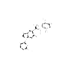 Cc1cccc(-n2ccc3cc(C(=O)N[C@@H]4C[C@@H]5CC[C@H]4N5C#N)c(Cl)cc32)n1